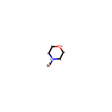 BrN1CCOCC1